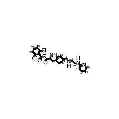 N[C@@H](Cc1ccc(CNCCNc2ccccn2)cc1)C(=O)OC(=O)c1c(Cl)cccc1Cl